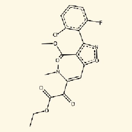 CCOC(=O)C(=O)C(=Cc1onc(-c2c(F)cccc2Cl)c1C(=O)OC)N(C)C